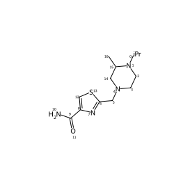 CC(C)N1CCN(Cc2nc(C(N)=O)cs2)CC1C